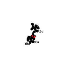 CC(C)(C)c1ccc(N(c2ccc(C(C)(C)C)cc2)c2cc3c4c(c2)N2c5ccccc5[Si](C)(C)c5cccc(c52)B4c2cccc4c2N3c2ccccc2C42c3ccccc3Oc3cc(CC(C)(C)c4ccc(N(c5ccc(C(C)(C)C)cc5)c5cc6c7c(c5)N5c8c(cc(-c9ccccc9)cc8C8(C)CCCCC58C)B7c5cccc7c5N6c5ccccc5[Si]7(C)C)cc4)ccc32)cc1